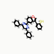 Sc1ccccc1-c1coc2ccc(-c3nc(-c4ccccc4)cc(-c4ccccc4)n3)cc12